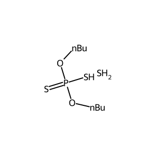 CCCCOP(=S)(S)OCCCC.S